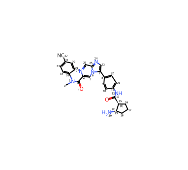 CN(C(=O)c1cn2c(-c3ccc(NC(=O)[C@H]4CCC[C@H]4N)cc3)cnc2cn1)c1ccc(C#N)cc1